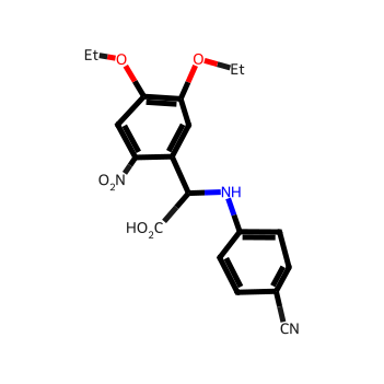 CCOc1cc(C(Nc2ccc(C#N)cc2)C(=O)O)c([N+](=O)[O-])cc1OCC